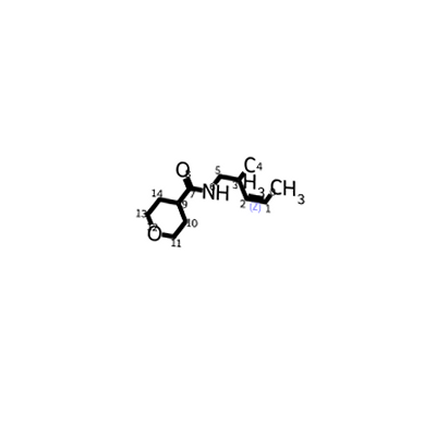 C/C=C\C(C)CNC(=O)C1CCOCC1